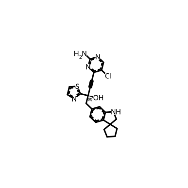 Nc1ncc(Cl)c(C#C[C@](O)(Cc2ccc3c(c2)NCC32CCCC2)c2nccs2)n1